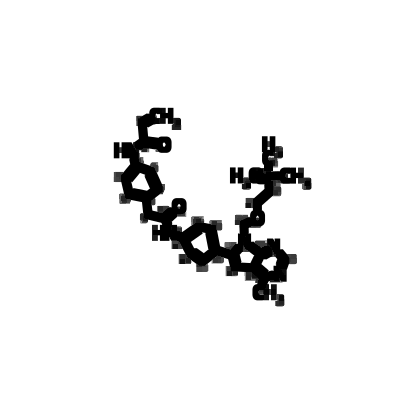 C=CC(=O)Nc1ccc(CC(=O)Nc2ccc(-c3cc4c(C)ncnc4n3COCC[Si](C)(C)C)cc2)cc1